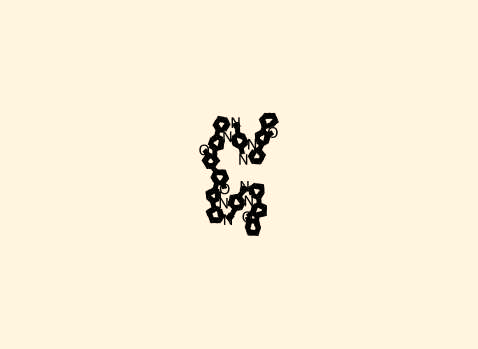 N#Cc1cc(-n2c3ccccc3c3cc4oc5ccc(-c6ccc7oc8c(ccc9c%10ccccc%10n(-c%10cc(C#N)c(-n%11c%12ccccc%12c%12ccc%13c%14ccccc%14oc%13c%12%11)cc%10C#N)c98)c7c6)cc5c4cc32)c(C#N)cc1-n1c2ccccc2c2cc3oc4ccccc4c3cc21